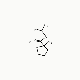 CC(C)OC(=O)C1(N)CCCC1.Cl